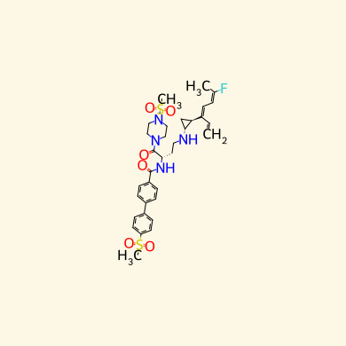 C=C/C(=C\C=C(/C)F)[C@@H]1C[C@H]1NCC[C@H](NC(=O)c1ccc(-c2ccc(S(C)(=O)=O)cc2)cc1)C(=O)N1CCN(S(C)(=O)=O)CC1